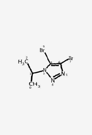 CC(C)n1nnc(Br)c1Br